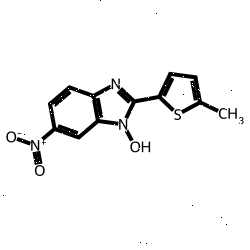 Cc1ccc(-c2nc3ccc([N+](=O)[O-])cc3n2O)s1